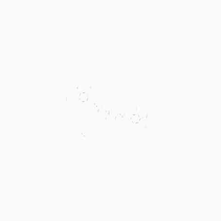 COC(=O)c1c(O)cc(CNC(=O)CN(CC(=O)NCc2cc(O)c(C(=O)OC)c(O)c2)C(=O)CCCCCN)cc1O